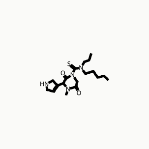 CCCCCN(CCC)C(=S)N1CC(=O)N(C)C(C2=CCNC2)C1=O